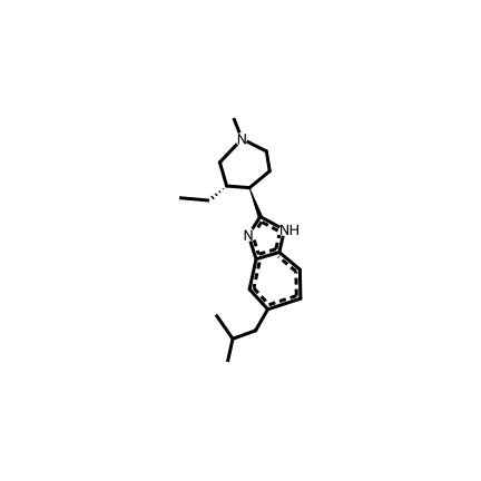 CC[C@@H]1CN(C)CC[C@H]1c1nc2cc(CC(C)C)ccc2[nH]1